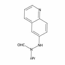 CCCN(C=O)Nc1ccc2ncccc2c1